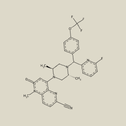 C[C@@H]1CN(c2cc(=O)n(C)c3ccc(C#N)nc23)[C@@H](C)CN1C(c1ccc(OC(F)(F)F)cc1)c1cccc(F)n1